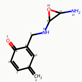 C=C1C=CC(=O)C(CNC2OC2N)=C1